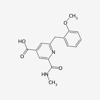 CNC(=O)c1cc(C(=O)O)cc(Cc2ccccc2OC)n1